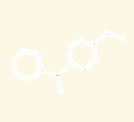 O=Nc1ccc(C(=O)c2ccccc2)cc1